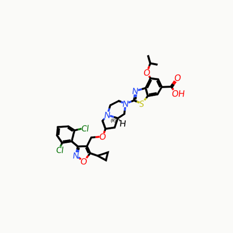 CC(C)Oc1cc(C(=O)O)cc2sc(N3CCN4CC(OCc5c(-c6c(Cl)cccc6Cl)noc5C5CC5)C[C@@H]4C3)nc12